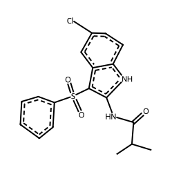 CC(C)C(=O)Nc1[nH]c2ccc(Cl)cc2c1S(=O)(=O)c1ccccc1